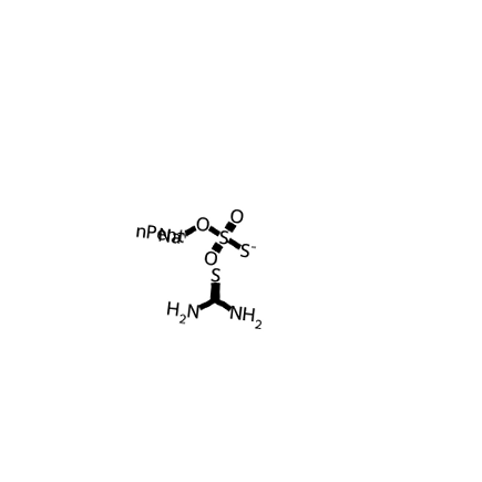 CCCCCOS(=O)(=O)[S-].NC(N)=S.[Na+]